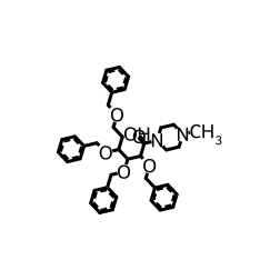 CN1CCN(C(=O)C(OCc2ccccc2)C(OCc2ccccc2)C(OCc2ccccc2)C(O)COCc2ccccc2)CC1